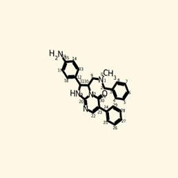 CN(Cc1ccccc1)CC1C(c2ccc(N)cc2)Nc2ncc(-c3ccccc3)c(=O)n21